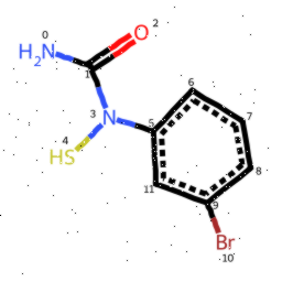 NC(=O)N(S)c1cccc(Br)c1